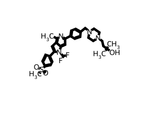 Cc1nc(-c2ccc(CN3CCN(CCC(C)(C)O)CC3)cc2)cc2c1cc(-c1ccc(S(C)(=O)=O)cc1)n2C(F)F